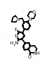 Nc1nc(F)c(-c2ccc(N3CCOCC3)c(CN3CCCC3)c2)cc1-c1ccc2c(c1)CCNC2=O